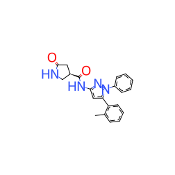 Cc1ccccc1-c1cc(NC(=O)[C@H]2CNC(=O)C2)nn1-c1ccccc1